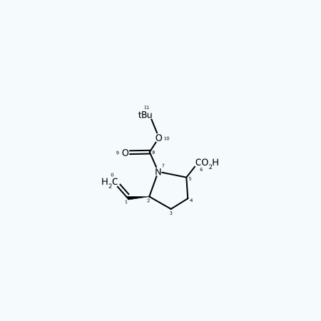 C=C[C@@H]1CCC(C(=O)O)N1C(=O)OC(C)(C)C